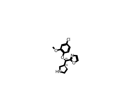 COc1cc(Cl)ccc1O[C@@H](c1ncco1)[C@H]1CCNC1